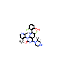 Cc1ccnc(C(C)C)c1-n1c(=O)nc(N2CCNC[C@@H]2C)c2cc(F)c(-c3c(O)cccc3F)nc21